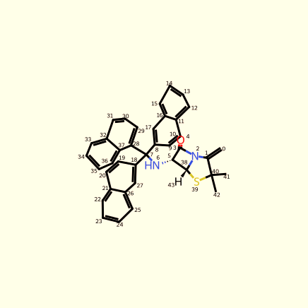 C=C1N2C(=O)[C@@H](NC(c3ccc4ccccc4c3)(c3ccc4ccccc4c3)c3cccc4ccccc34)[C@H]2SC1(C)C